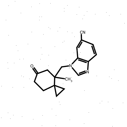 CC1(Cn2cnc3ccc(C#N)cc32)CC(=O)CCC12CC2